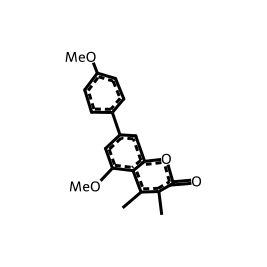 COc1ccc(-c2cc(OC)c3c(C)c(C)c(=O)oc3c2)cc1